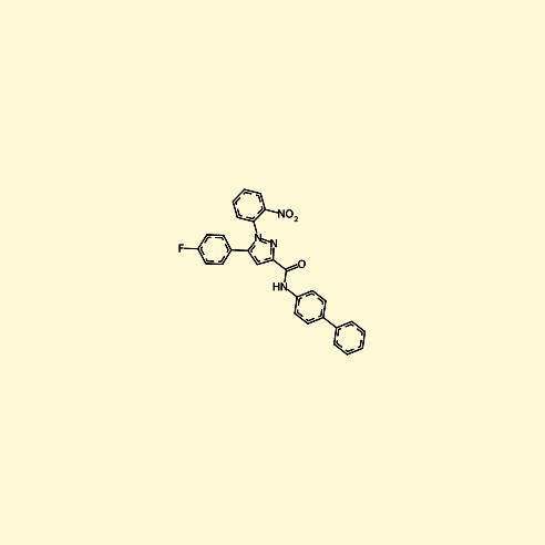 O=C(Nc1ccc(-c2ccccc2)cc1)c1cc(-c2ccc(F)cc2)n(-c2ccccc2[N+](=O)[O-])n1